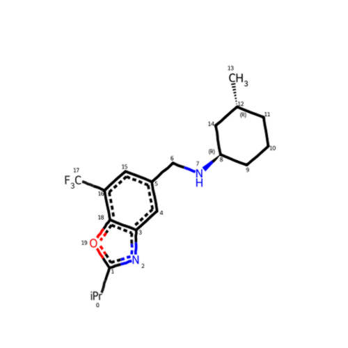 CC(C)c1nc2cc(CN[C@@H]3CCC[C@@H](C)C3)cc(C(F)(F)F)c2o1